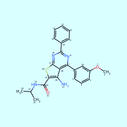 COc1cccc(-c2nc(-c3ccccc3)nc3sc(C(=O)NC(C)C)c(N)c23)c1